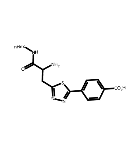 CCCCCCNC(=O)C(N)Cc1nnc(-c2ccc(C(=O)O)cc2)s1